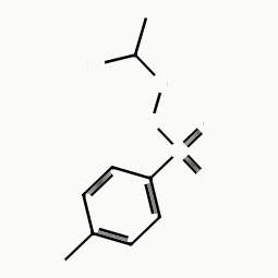 Cc1ccc(S(=O)(=O)SOC(C)O)cc1